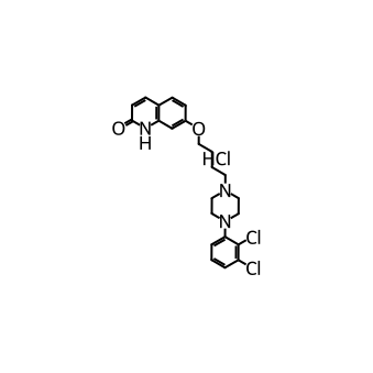 Cl.O=c1ccc2ccc(OCCCCN3CCN(c4cccc(Cl)c4Cl)CC3)cc2[nH]1